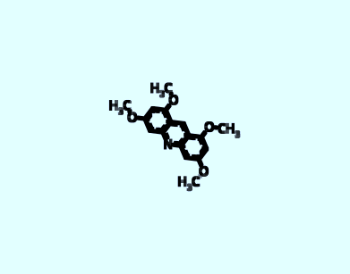 COc1cc(OC)c2cc3c(OC)cc(OC)cc3nc2c1